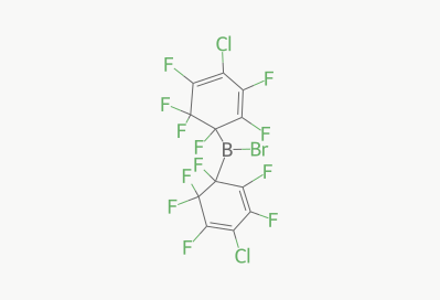 FC1=C(F)C(F)(B(Br)C2(F)C(F)=C(F)C(Cl)=C(F)C2(F)F)C(F)(F)C(F)=C1Cl